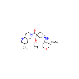 CO[C@@H]1COCC[C@@H]1N[C@@H]1CC[C@](COCC#N)(C(=O)N2CCc3ncc(C(F)(F)F)cc3C2)C1